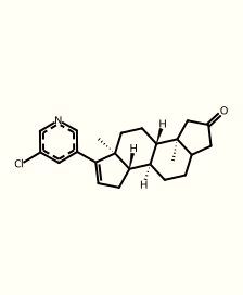 C[C@]12CC(=O)CC1CC[C@@H]1[C@@H]2CC[C@]2(C)C(c3cncc(Cl)c3)=CC[C@@H]12